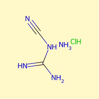 Cl.N.N#CNC(=N)N